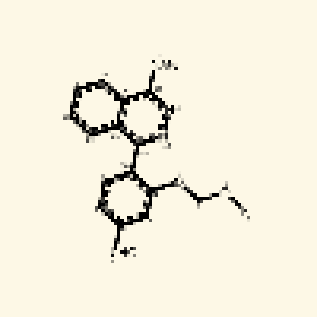 CCOCOc1cc(C=O)ccc1-c1nnc(NC)c2ccccc12